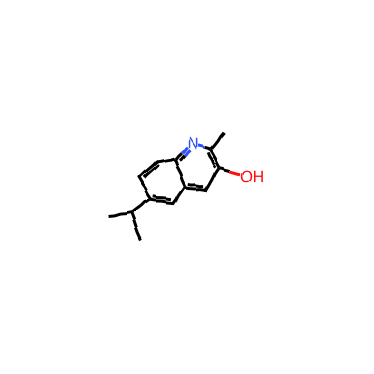 Cc1nc2ccc(C(C)C)cc2cc1O